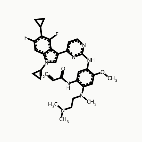 C=CC(=O)Nc1cc(Nc2nccc(-c3cn(C4CC4)c4cc(F)c(C5CC5)c(F)c34)n2)c(OC)cc1N(C)CCN(C)C